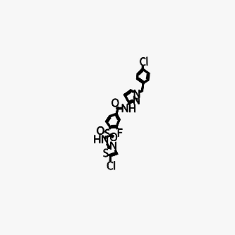 O=C(Nc1ccn(Cc2ccc(Cl)cc2)n1)c1ccc(S(=O)(=O)Nc2ncc(Cl)s2)c(F)c1